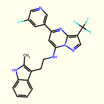 Cc1[nH]c2ccccc2c1CCNc1cc(-c2cncc(F)c2)nc2c(C(F)(F)F)cnn12